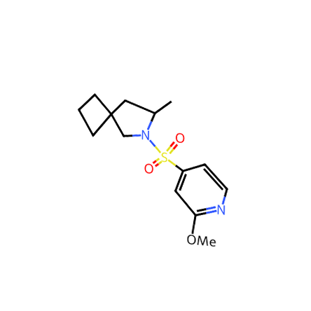 COc1cc(S(=O)(=O)N2CC3(CCC3)CC2C)ccn1